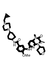 COc1ccc(C(=O)N[C@H]2CC[C@H](N3CCN(CC4CC4)CC3)CC2)cc1Nc1ccc2c(n1)N(C1CCOCC1)[C@H](C)C(=O)N2C